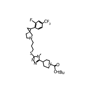 Cn1c(SCCCN2CC[C@]3(CC3c3ccc(C(F)(F)F)cc3F)C2)nnc1C1CCN(C(=O)OC(C)(C)C)CC1